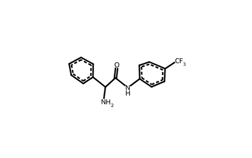 NC(C(=O)Nc1ccc(C(F)(F)F)cc1)c1ccccc1